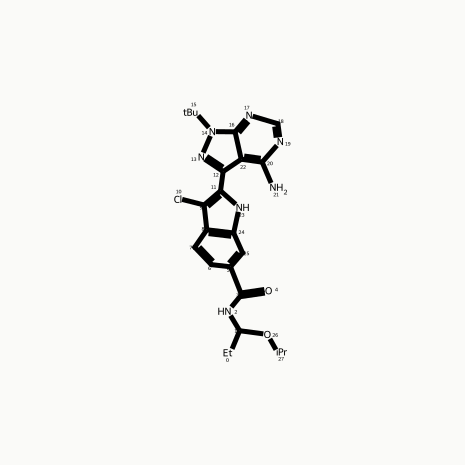 CCC(NC(=O)c1ccc2c(Cl)c(-c3nn(C(C)(C)C)c4ncnc(N)c34)[nH]c2c1)OC(C)C